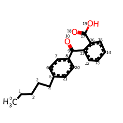 CCCCCc1ccc(C(=O)c2ccccc2C(=O)O)cc1